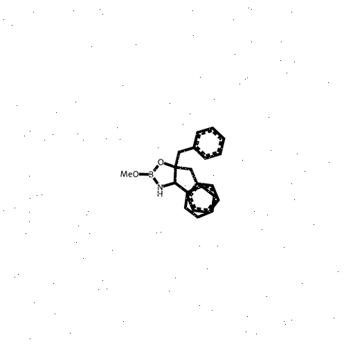 COB1NC(C2CCCCC2)C(Cc2ccccc2)(Cc2ccccc2)O1